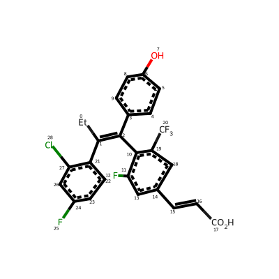 CC/C(=C(\c1ccc(O)cc1)c1c(F)cc(/C=C/C(=O)O)cc1C(F)(F)F)c1ccc(F)cc1Cl